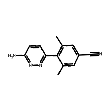 Cc1cc(C#N)cc(C)c1-c1ccc(N)nn1